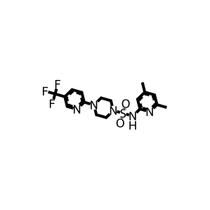 Cc1cc(C)nc(NS(=O)(=O)N2CCN(c3ccc(C(F)(F)F)cn3)CC2)c1